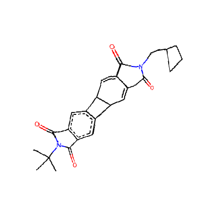 CC(C)(C)N1C(=O)c2cc3c(cc2C1=O)C1C=C2C(=O)N(CC4CCC4)C(=O)C2=CC31